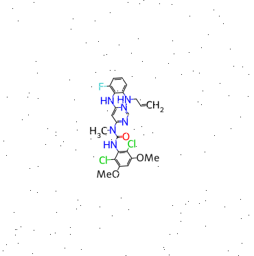 C=CCNc1cccc(F)c1Nc1cc(N(C)C(=O)Nc2c(Cl)c(OC)cc(OC)c2Cl)ncn1